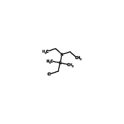 CCN(CC)[Si](C)(C)CCl